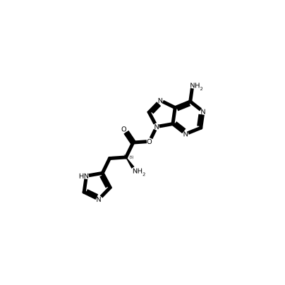 Nc1ncnc2c1ncn2OC(=O)[C@@H](N)Cc1cnc[nH]1